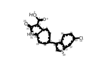 O=C(O)c1c2ccc(-c3csc4cc(Cl)ccc34)ccc-2[nH]c1=O